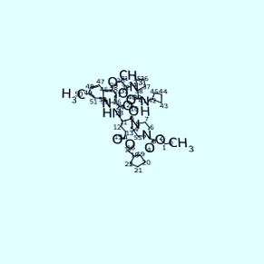 CCOC(=O)N1CCN(C(=O)C(CCC(=O)OCC2CCCC2)NC(=O)c2cc(O[C@H](C)C(=O)N3CCCC3C(=O)NC3CCC3)c3ccc(C)cc3n2)CC1